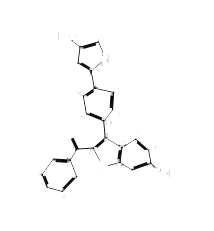 O=C(c1ccccc1)c1sc2cc(O)ccc2c1-c1ccc(-c2cc(O)c[nH]2)cc1